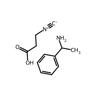 CC(N)c1ccccc1.[C-]#[N+]CCC(=O)O